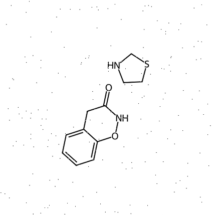 C1CSCN1.O=C1Cc2ccccc2ON1